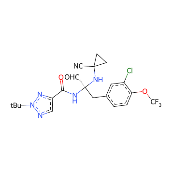 CC(C)(C)n1ncc(C(=O)N[C@](C=O)(Cc2ccc(OC(F)(F)F)c(Cl)c2)NC2(C#N)CC2)n1